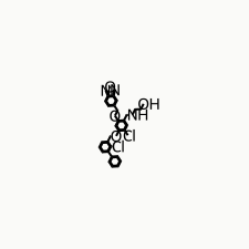 OCCNCc1cc(Cl)c(OCc2cccc(-c3ccccc3)c2Cl)cc1OCc1ccc2nonc2c1